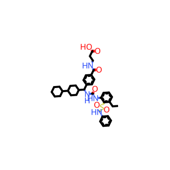 CCc1cccc(NC(=O)NC(c2ccc(C(=O)NCCC(=O)O)cc2)C2CCC(C3CCCCC3)CC2)c1S(=O)(=O)Nc1ccccc1